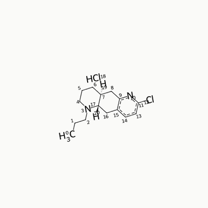 CCCN1CCC[C@H]2Cc3nc(Cl)ccc3C[C@@H]21.Cl